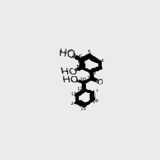 O=C(c1cccc(O)c1O)C(O)c1ccccc1